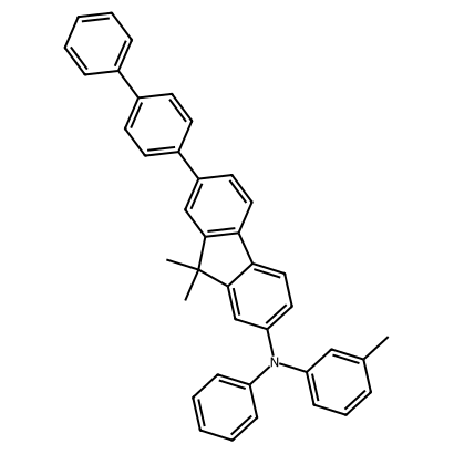 Cc1cccc(N(c2ccccc2)c2ccc3c(c2)C(C)(C)c2cc(-c4ccc(-c5ccccc5)cc4)ccc2-3)c1